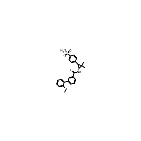 COc1ccccc1-c1cccc(C(=O)N[C@@H]2C(c3ccc(S(N)(=O)=O)cc3)C2(C)C)c1